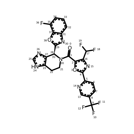 O=C(c1oc(-c2ccc(C(F)(F)F)cn2)nc1C(F)F)N1CCc2[nH]cnc2[C@H]1c1nc2cccc(F)c2o1